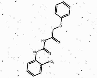 O=C(COc1ccccc1)NC(=S)Nc1ccccc1[N+](=O)[O-]